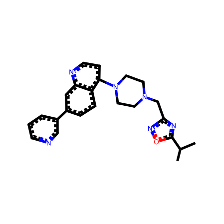 CC(C)c1nc(CN2CCN(c3ccnc4cc(-c5cccnc5)ccc34)CC2)no1